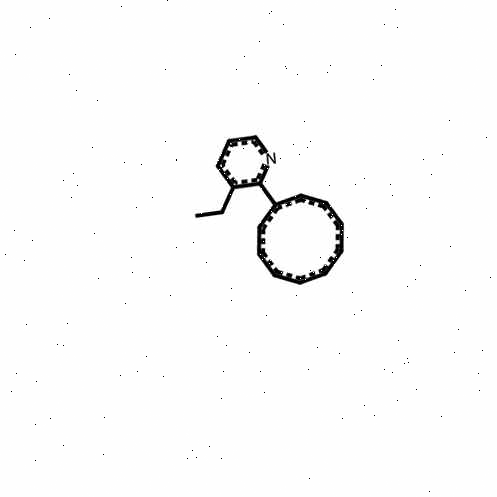 CCc1cccnc1-c1ccccccccc1